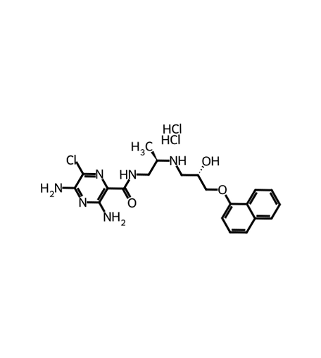 C[C@H](CNC(=O)c1nc(Cl)c(N)nc1N)NC[C@H](O)COc1cccc2ccccc12.Cl.Cl